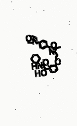 Cc1oc(-c2ccc(N3CCOCC3)cc2)nc1CCOc1[c]c(C(O)C(=O)NC2CCCCC2)ccc1